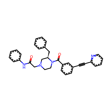 O=C(CN1CCN(C(=O)c2cccc(C#Cc3ccccn3)c2)[C@H](Cc2ccccc2)C1)Nc1ccccc1